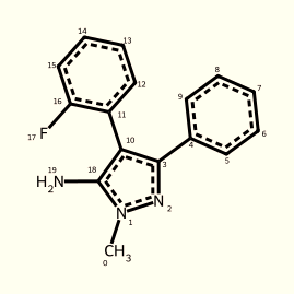 Cn1nc(-c2ccccc2)c(-c2ccccc2F)c1N